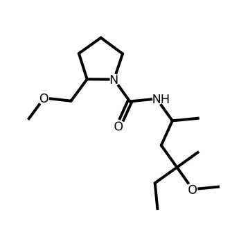 CCC(C)(CC(C)NC(=O)N1CCCC1COC)OC